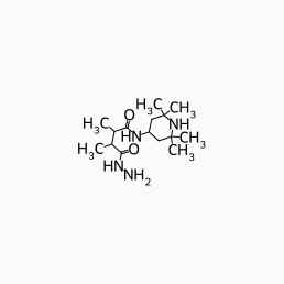 CC(C(=O)NN)C(C)C(=O)NC1CC(C)(C)NC(C)(C)C1